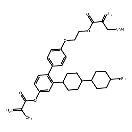 C=C(C)C(=O)Oc1ccc(-c2ccc(OCCOC(=O)C(=C)COC)cc2)c(C2CCC(C3CCC(CCCC)CC3)CC2)c1